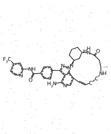 C[C@H]1CC(=O)N[C@@H]2CCC[C@H](C2)n2nc(-c3ccc(C(=O)Nc4cc(C(F)(F)F)ccn4)cc3)c3c(N)ncc(c32)/C=C/CCN1